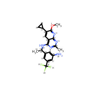 COc1nc2nc(C)nc(N[C@H](C)c3cc(N)cc(C(F)(F)F)c3)c2cc1C1CC1